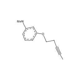 CC#CCCOc1cccc(NC)c1